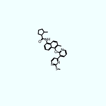 CSc1nccc(-c2cccnc2Oc2c(C)ccc3c(NC(=O)C4CCCC4C)cccc23)n1